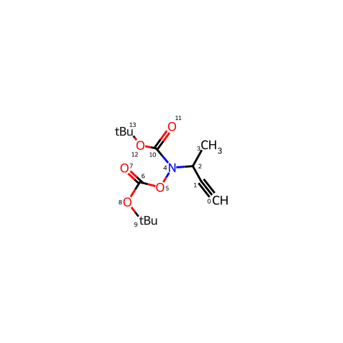 C#CC(C)N(OC(=O)OC(C)(C)C)C(=O)OC(C)(C)C